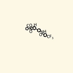 O=C(Nc1ccc(-c2ccc3c(c2)C(=O)N([C@@H]2CCC[C@@H]2C(=O)O)C3)cc1)c1ccc(C(F)(F)F)cc1